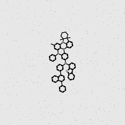 Cc1cc2c3c(c1)N1c4c(cccc4C4(C)CCCCC14C)B3c1ccc(N(c3cccc(-c4ccc(-c5ccccc5)c5ccccc45)c3)c3cccc4c3oc3ccccc34)cc1N2c1ccccc1